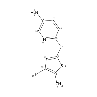 Cc1sc(Cc2ccc(N)cn2)cc1F